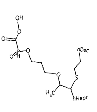 CCCCCCCCCCCCSC(CCCCCCC)C(C)OCCCO[PH](=O)C(=O)OO